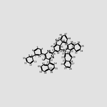 Cc1c(-c2cccc(-c3ccccc3)c2)nc(-c2cc(-n3c4cc5ccccc5cc4c4c5ccccc5ccc43)c3c(c2)sc2ccccc23)nc1-c1cccc2ccccc12